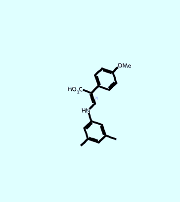 COc1ccc(/C(=C/Nc2cc(C)cc(C)c2)C(=O)O)cc1